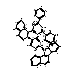 C1=CC2c3ccc4ccccc4c3N(c3ccc(-c4ccc5ccccc5c4-c4nc(-c5ccccc5)nc(-c5ccccc5)n4)cc3)C2C=C1